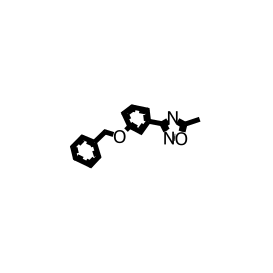 Cc1nc(-c2cccc(OCc3ccccc3)c2)no1